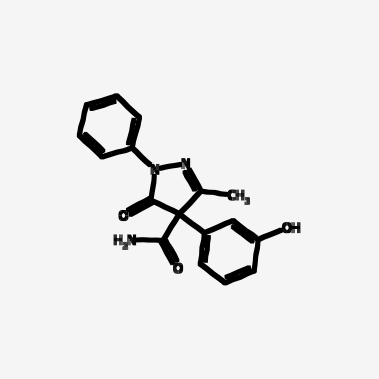 CC1=NN(c2ccccc2)C(=O)C1(C(N)=O)c1cccc(O)c1